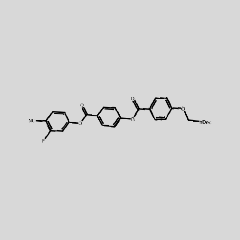 CCCCCCCCCCCOc1ccc(C(=O)Oc2ccc(C(=O)Oc3ccc(C#N)c(F)c3)cc2)cc1